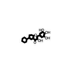 O=c1c(O)c(-c2cc(O)c(O)c(O)c2)oc2ccc(C3CCCCC3)cc12